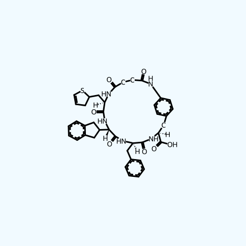 O=C1CCC(=O)N[C@H](CC2CC=CS2)C(=O)N[C@@H](C2Cc3ccccc3C2)C(=O)N[C@H](Cc2ccccc2)C(=O)N[C@H](C(=O)O)Cc2ccc(cc2)N1